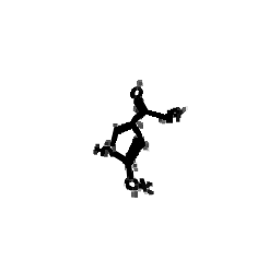 CC(=O)Oc1cc(C(=O)C(C)C)c[nH]1